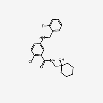 O=C(NCC1(O)CCCCC1)c1cc(NCc2ccccc2F)ccc1Cl